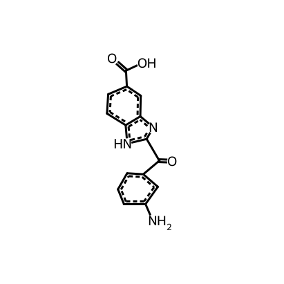 Nc1cccc(C(=O)c2nc3cc(C(=O)O)ccc3[nH]2)c1